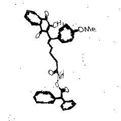 COc1ccc(C(CCCCC(=O)NOC(=O)C(c2ccccc2)c2ccccc2)C2=C(C)C(=O)c3ccccc3C2=O)cc1